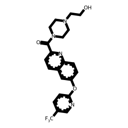 O=C(c1ccc2cc(Oc3ccc(C(F)(F)F)cn3)ccc2n1)N1CCN(CCO)CC1